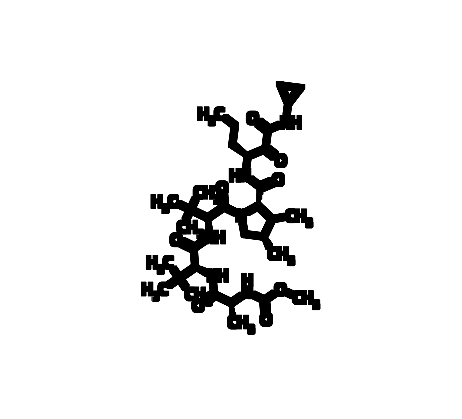 CCC[C@H](NC(=O)[C@@H]1C(C)[C@@H](C)CN1C(=O)[C@@H](NC(=O)[C@@H](NC(=O)[C@@H](C)NC(=O)OC)C(C)(C)C)C(C)(C)C)C(=O)C(=O)NC1CC1